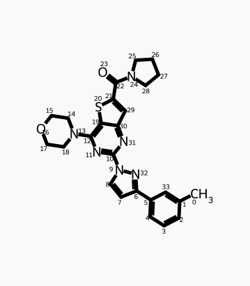 Cc1cccc(-c2ccn(-c3nc(N4CCOCC4)c4sc(C(=O)N5CCCC5)cc4n3)n2)c1